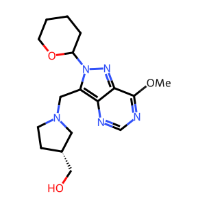 COc1ncnc2c(CN3CC[C@@H](CO)C3)n(C3CCCCO3)nc12